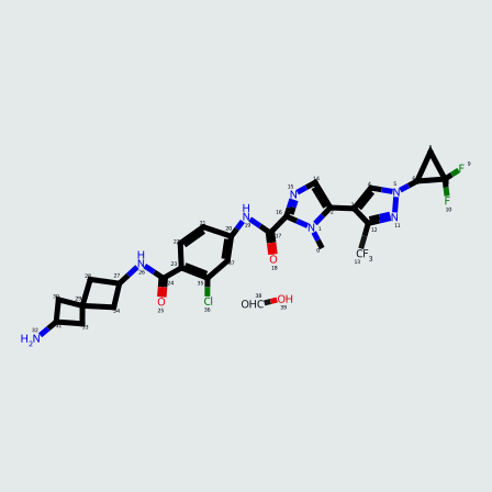 Cn1c(-c2cn(C3CC3(F)F)nc2C(F)(F)F)cnc1C(=O)Nc1ccc(C(=O)NC2CC3(CC(N)C3)C2)c(Cl)c1.O=CO